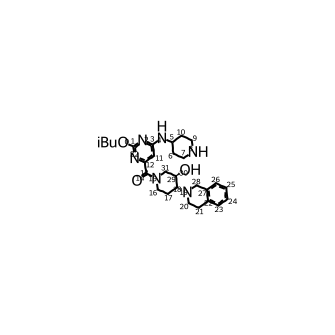 CC(C)COc1nc(NC2CCNCC2)cc(C(=O)N2CC[C@@H](N3CCc4ccccc4C3)[C@H](O)C2)n1